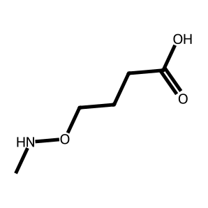 CNOCCCC(=O)O